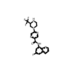 O=C(Nc1cc(F)cc2cccnc12)c1cnc(N2CCNC(C(F)(F)F)C2)cn1